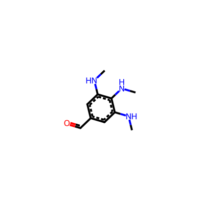 CNc1cc(C=O)cc(NC)c1NC